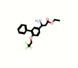 CCOC(=O)CC(N)c1ccc(OCC(F)(F)F)c(-c2ccccc2)c1